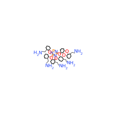 NCCc1ccccc1Oc1cccc(Op2npn(Oc3ccccc3CCN)p(Oc3ccccc3CCN)n2Oc2ccccc2CCN)c1Oc1ccccc1CCN